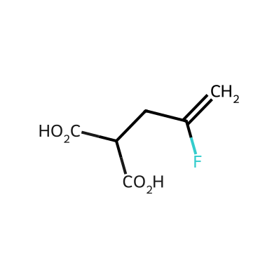 C=C(F)CC(C(=O)O)C(=O)O